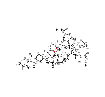 CC(C)(C)c1ccc(C[C@H](NC(=O)[C@H](CCC(N)=O)NC(=O)[C@@H]2CC[C@@H]3CCN(CC(F)F)C[C@H](NC(=O)c4cc5cc(C(F)(F)P(=O)(O)O)ccc5s4)C(=O)N32)C(O)N2CCN(CCOc3ccc4c(c3)C(=O)N(C3CCC(=O)NC3=O)C4=O)CC2)cc1